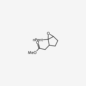 CCCCCC12OC1CCC2CC(=O)OC